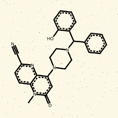 Cn1c(=O)cc(N2CCN(C(c3ccccc3)c3ccccc3O)CC2)c2nc(C#N)ccc21